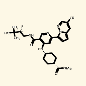 CNC(=O)[C@H]1CC[C@@H](Nc2cc(-c3ccc4cc(C#N)cnn34)ncc2C(=O)NC[C@@H](F)C(C)(C)O)CC1